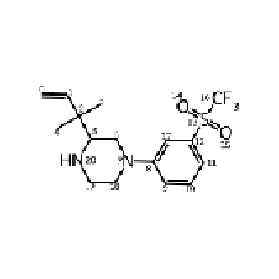 C=CC(C)(C)C1CN(c2cccc(S(=O)(=O)C(F)(F)F)c2)CCN1